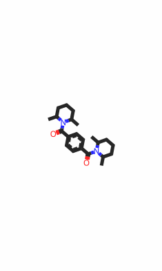 CC1CCCC(C)N1C(=O)c1ccc(C(=O)N2C(C)CCCC2C)cc1